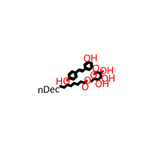 CCCCCCCCCCCCCCCCCC(=O)OCC1OC(Oc2cc(O)cc(/C=C/c3ccc(O)cc3)c2)C(O)C(O)C1O